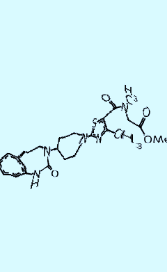 COC(=O)CN(C)C(=O)c1sc(N2CCC(N3CCc4ccccc4NC3=O)CC2)nc1C